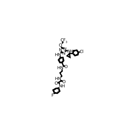 O=C(NCCCNC(=O)c1ccc(Nc2nc(NC3(c4ccc(Cl)cc4)CC3)nc(OCC(F)(F)F)n2)cc1)C(=O)Nc1ccc(F)cc1